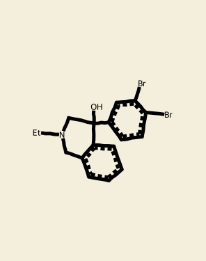 CCN1Cc2ccccc2C(O)(c2ccc(Br)c(Br)c2)C1